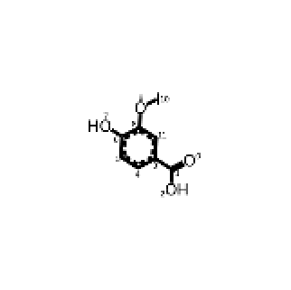 O=C(O)c1ccc(O)c(OI)c1